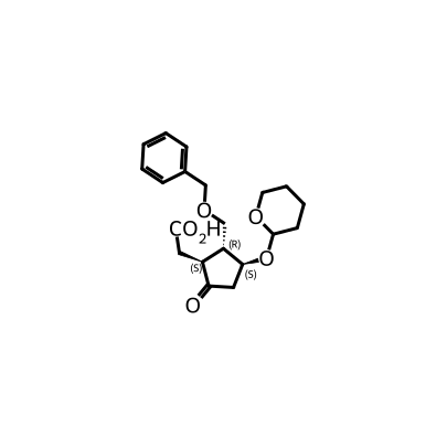 O=C(O)C[C@@H]1C(=O)C[C@H](OC2CCCCO2)[C@H]1COCc1ccccc1